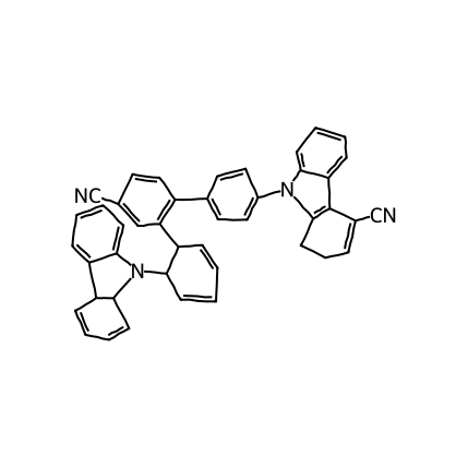 N#CC1=CCCc2c1c1ccccc1n2-c1ccc(-c2ccc(C#N)cc2C2C=CC=CC2N2c3ccccc3C3C=CC=CC32)cc1